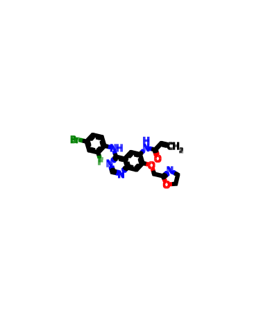 C=CC(=O)Nc1cc2c(Nc3ccc(Br)cc3F)ncnc2cc1OCC1=NCCO1